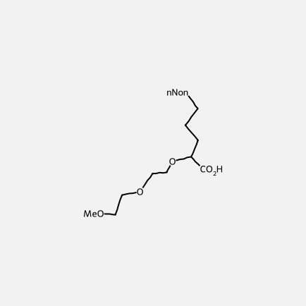 CCCCCCCCCCCCC(OCCOCCOC)C(=O)O